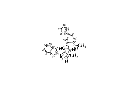 C[C@@H](NC(=O)[C@](C)(O)[C@@H](O)C(=O)N1Cc2ccncc2C1)c1ccc(-n2cccn2)cc1